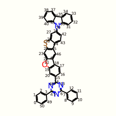 c1ccc(-c2nc(-c3ccccc3)nc(-c3ccc4c(c3)oc3cc5sc6cc(-n7c8ccccc8c8ccccc87)ccc6c5cc34)n2)cc1